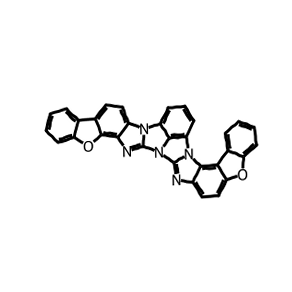 c1ccc2c(c1)oc1c2ccc2c1nc1n2c2cccc3c2n1c1nc2ccc4oc5ccccc5c4c2n31